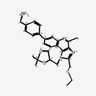 CCOCc1nc2c(C)nc3cc(-c4ccc(CN)cc4)ccc3c2n1CC1COC(C)(C)O1